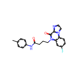 Cc1ccc(NC(=O)CCCn2c(=O)c3nccn3c3ccc(F)cc32)cc1